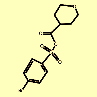 O=C(OS(=O)(=O)c1ccc(Br)cc1)C1CCOCC1